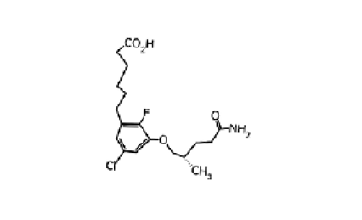 C[C@@H](CCC(N)=O)COc1cc(Cl)cc(CCCCCC(=O)O)c1F